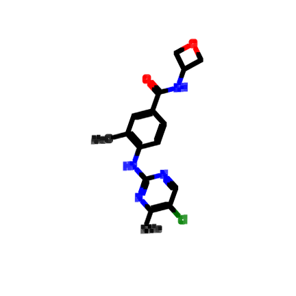 CNc1nc(Nc2ccc(C(=O)NC3COC3)cc2OC)ncc1Cl